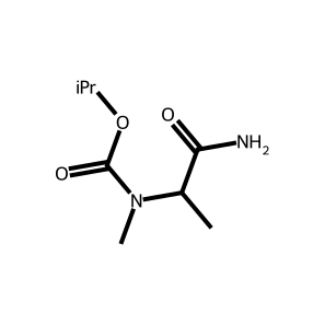 CC(C)OC(=O)N(C)C(C)C(N)=O